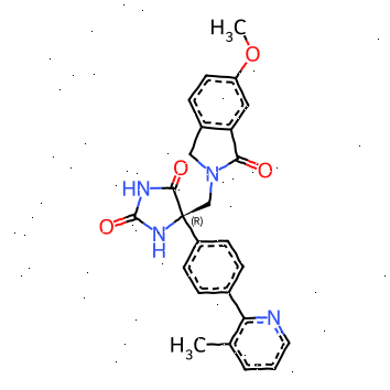 COc1ccc2c(c1)C(=O)N(C[C@@]1(c3ccc(-c4ncccc4C)cc3)NC(=O)NC1=O)C2